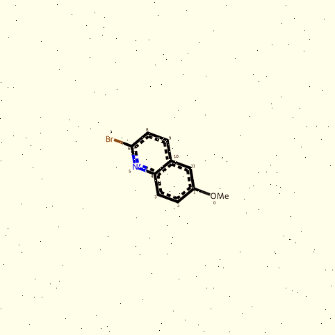 COc1ccc2nc(Br)ccc2c1